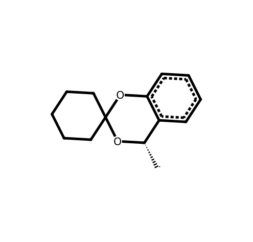 [CH2][C@@H]1OC2(CCCCC2)Oc2ccccc21